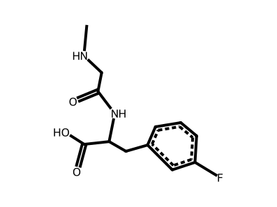 CNCC(=O)NC(Cc1cccc(F)c1)C(=O)O